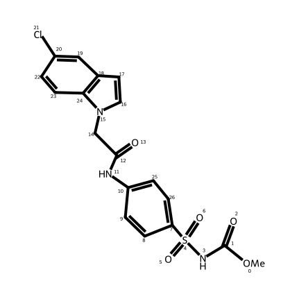 COC(=O)NS(=O)(=O)c1ccc(NC(=O)Cn2ccc3cc(Cl)ccc32)cc1